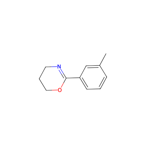 Cc1cccc(C2=NCCCO2)c1